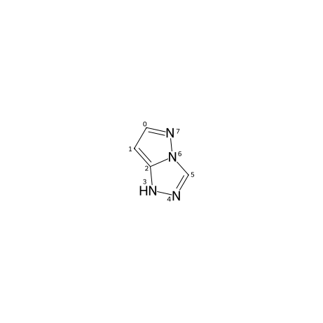 c1cc2[nH]ncn2n1